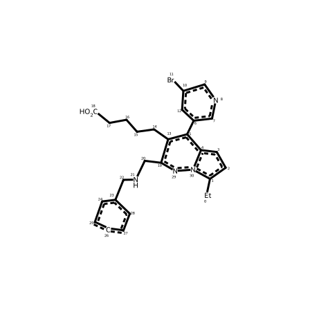 CCc1ccc2c(-c3cncc(Br)c3)c(CCCCC(=O)O)c(CNCc3ccccc3)nn12